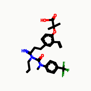 C=Cc1cc(CCC(=N)N(CCC)C(=O)N(C)c2ccc(C(F)(F)F)cc2)ccc1OC(C)(C)C(=O)O